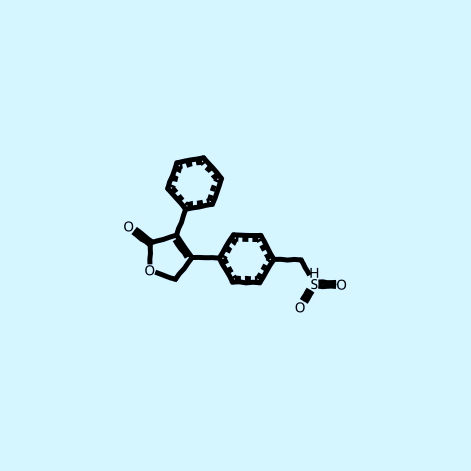 O=C1OCC(c2ccc(C[SH](=O)=O)cc2)=C1c1ccccc1